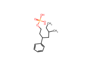 CCC(C)CC(CCOP(=O)(O)O)c1ccccc1